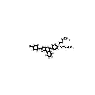 CCCCN(CCCC)c1ccc(-c2cc3nc(-c4ccc(F)c(F)c4)oc3c3ccccc23)cc1